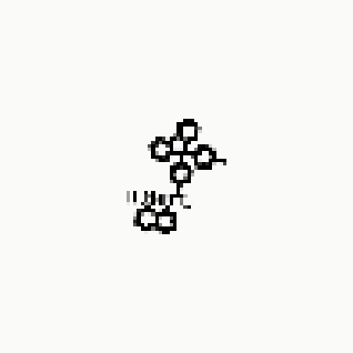 Cc1ccc(C2(c3ccc(C(=O)Nc4cccc5cccc(N)c45)cc3)c3ccccc3-c3ccccc32)cc1